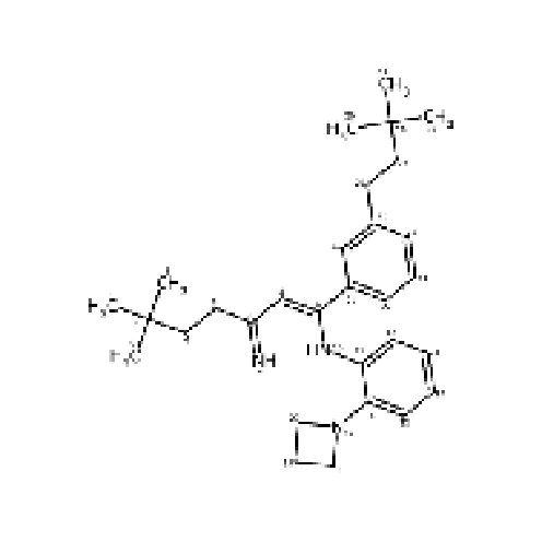 CC(C)(C)CCC(=N)/C=C(\Nc1ccccc1N1CCC1)c1cccc(CCC(C)(C)C)c1